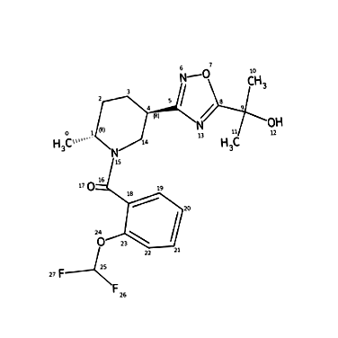 C[C@@H]1CC[C@@H](c2noc(C(C)(C)O)n2)CN1C(=O)c1ccccc1OC(F)F